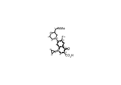 CNCC1CN(c2cc3c(cc2F)c(=O)c(C(=O)O)cn3C2CC2)CCO1